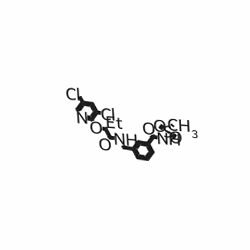 CC[C@@H](Oc1ncc(Cl)cc1Cl)C(=O)NCc1cccc(C(=O)NS(C)(=O)=O)c1